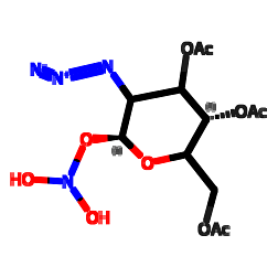 CC(=O)OCC1O[C@@H](ON(O)O)C(N=[N+]=[N-])C(OC(C)=O)[C@@H]1OC(C)=O